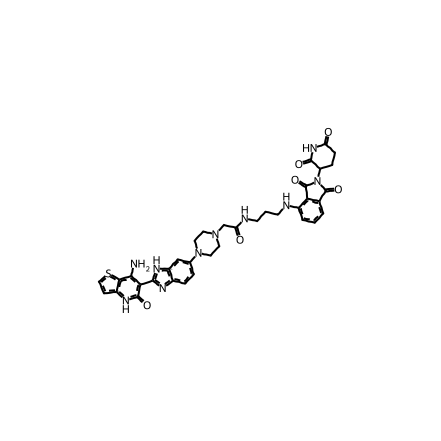 Nc1c(-c2nc3ccc(N4CCN(CC(=O)NCCCNc5cccc6c5C(=O)N(C5CCC(=O)NC5=O)C6=O)CC4)cc3[nH]2)c(=O)[nH]c2ccsc12